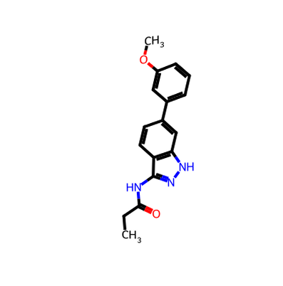 CCC(=O)Nc1n[nH]c2cc(-c3cccc(OC)c3)ccc12